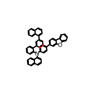 c1cc(-c2ccccc2N(c2ccc(-c3ccc4c(c3)oc3ccccc34)cc2)c2cccc3ccccc23)cc(-c2cccc3ccccc23)c1